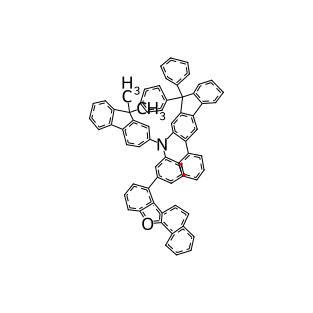 CC1(C)c2ccccc2-c2ccc(N(c3cccc(-c4cccc5oc6c7ccccc7ccc6c45)c3)c3cc4c(cc3-c3ccccc3)-c3ccccc3C4(c3ccccc3)c3ccccc3)cc21